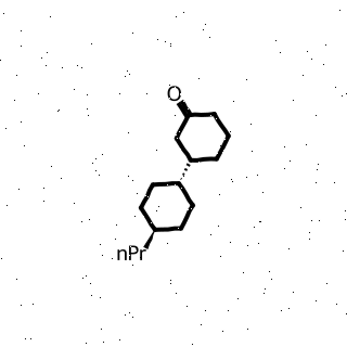 CCC[C@H]1CC[C@H](C2CCCC(=O)C2)CC1